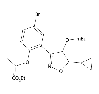 CCCCOC1C(c2cc(Br)ccc2O[C@@H](C)C(=O)OCC)=NOC1C1CC1